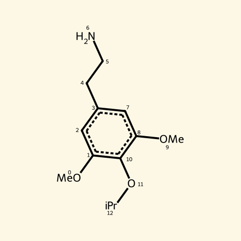 COc1cc(CCN)cc(OC)c1OC(C)C